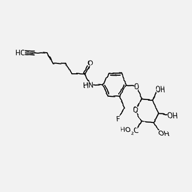 C#CCCCCC(=O)Nc1ccc(OC2OC(C(=O)O)C(O)C(O)C2O)c(CF)c1